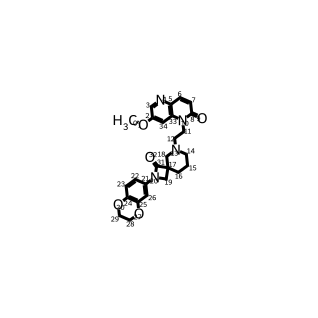 COc1cnc2ccc(=O)n(CCN3CCCC4(C3)CN(c3ccc5c(c3)OCCO5)C4=O)c2c1